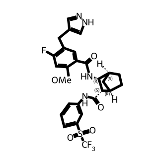 COc1cc(F)c(Cc2cn[nH]c2)cc1C(=O)N[C@@H]1[C@H]2CC[C@H](C2)[C@@H]1C(=O)Nc1cccc(S(=O)(=O)C(F)(F)F)c1